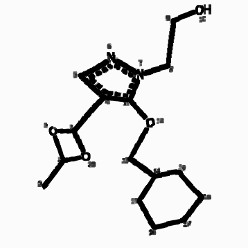 CC1OC(c2cnn(CCO)c2OCC2CCCCC2)O1